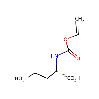 C=COC(=O)N[C@@H](CCC(=O)O)C(=O)O